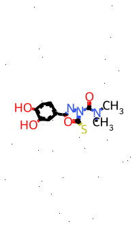 CN(C)C(=O)n1nc(-c2ccc(O)c(O)c2)oc1=S